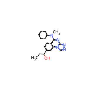 CCC(O)c1ccc2c(N(C)c3ccccc3)nc3nncn3c2c1